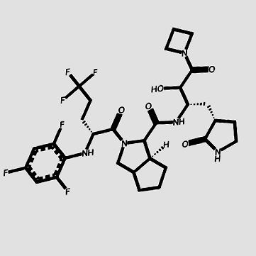 O=C(N[C@@H](C[C@@H]1CCNC1=O)C(O)C(=O)N1CCC1)C1[C@H]2CCCC2CN1C(=O)[C@@H](CCC(F)(F)F)Nc1c(F)cc(F)cc1F